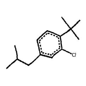 CC(C)Cc1ccc(C(C)(C)C)c(Cl)c1